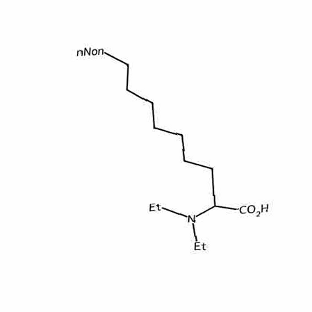 CCCCCCCCCCCCCCCCC(C(=O)O)N(CC)CC